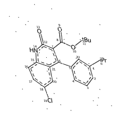 CC(C)c1cccc(-c2c(C(=O)OC(C)(C)C)c(=O)[nH]c3ccc(Cl)cc23)c1